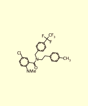 CNc1ccc(Cl)cc1C(=O)N(CCc1ccc(C)cc1)Cc1ccc(C(F)(F)C(F)(F)F)cc1